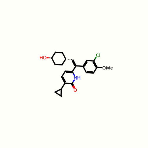 COc1ccc(C(=C[C@H]2CC[C@H](O)CC2)c2ccc(C3CC3)c(=O)[nH]2)cc1Cl